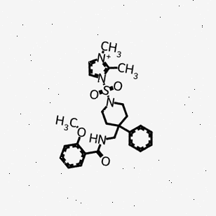 COc1ccccc1C(=O)NCC1(c2ccccc2)CCN(S(=O)(=O)n2cc[n+](C)c2C)CC1